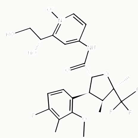 COc1c([C@H]2[C@H](C(=O)Nc3cc[n+]([O-])c([C@H](O)CO)c3)O[C@@](C)(C(F)(F)F)[C@H]2C)ccc(F)c1C